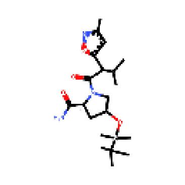 Cc1cc(C(C(=O)N2CC(O[Si](C)(C)C(C)(C)C)C[C@H]2C(N)=O)C(C)C)on1